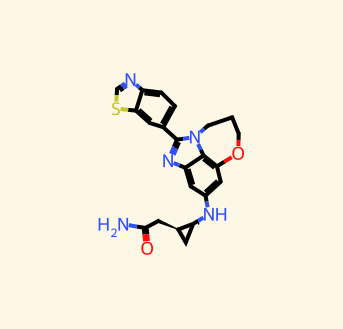 NC(=O)C[C@@H]1C[C]1Nc1cc2c3c(c1)nc(-c1ccc4ncsc4c1)n3CCCO2